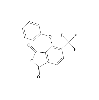 O=C1OC(=O)c2c1ccc(C(F)(F)F)c2Oc1ccccc1